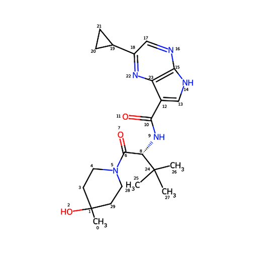 CC1(O)CCN(C(=O)[C@H](NC(=O)c2c[nH]c3ncc(C4CC4)nc23)C(C)(C)C)CC1